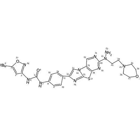 CC(C)(C)c1cc(NC(=O)Nc2ccc(-c3cn4c(n3)sc3nc(N(N)CCN5CCOCC5)ncc34)cc2)no1